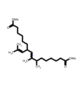 COC(=O)CCCCCC(C=C(C)C)/C=C(\C)C(C)CCCCCC(=O)OC